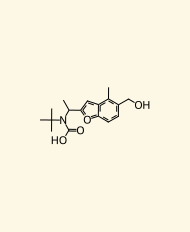 Cc1c(CO)ccc2oc(C(C)N(C(=O)O)C(C)(C)C)cc12